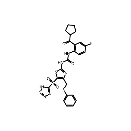 O=C(Nc1nc(CSc2ccccc2)c(S(=O)(=O)c2nnn[nH]2)s1)Nc1ccc(F)cc1C(=O)C1CCCC1